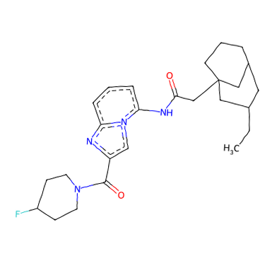 CCC1CC2CCCC(CC(=O)Nc3cccc4nc(C(=O)N5CCC(F)CC5)cn34)(C1)C2